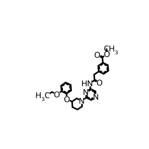 CCOc1ccccc1OC1CCCN(c2cncc(NC(=O)Cc3cccc(C(=O)OC)c3)n2)C1